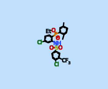 CCOP(=O)(c1cc(C)ccc1C)c1ccc(Cl)cc1NS(=O)(=O)c1ccc(Cl)c(C(F)(F)F)c1